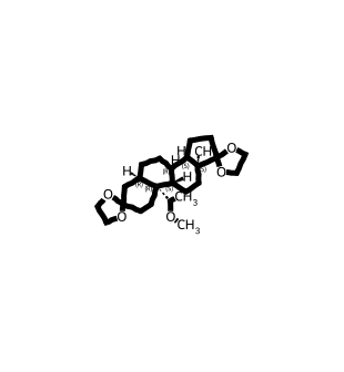 COC(C)[C@]12CCC3(C[C@H]1CC[C@@H]1[C@@H]2CC[C@@]2(C)[C@H]1CCC21OCCO1)OCCO3